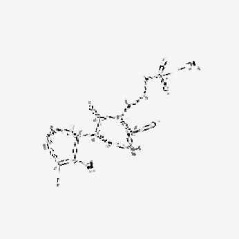 CS(=O)(=O)CCCn1c(=O)[nH]cc(-c2cccc(F)c2Cl)c1=O